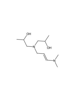 CC(O)CN(CC=CN(C)C)CC(C)O